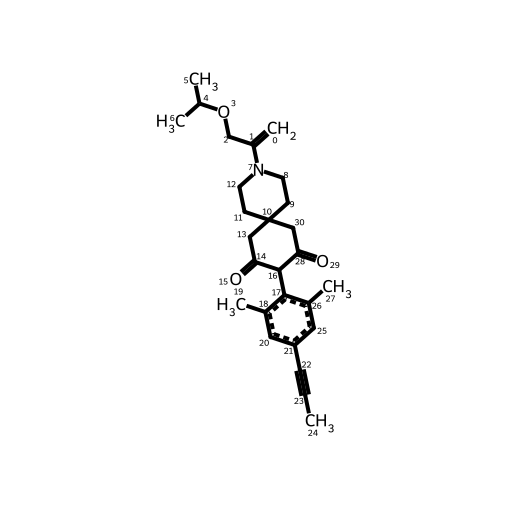 C=C(COC(C)C)N1CCC2(CC1)CC(=O)C(c1c(C)cc(C#CC)cc1C)C(=O)C2